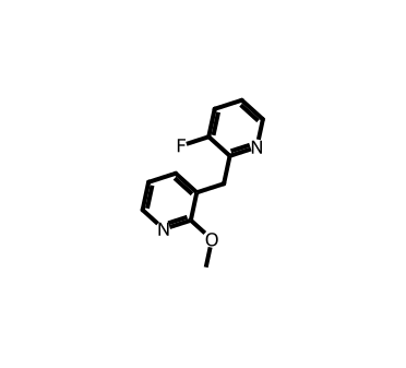 COc1ncccc1Cc1ncccc1F